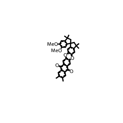 COc1cc2c(cc1OC)C1(CC2(C)C)CC(C)(C)c2cc3oc4cc5c(=O)c6cc(C)c(C)cc6c(=O)c5cc4oc3cc21